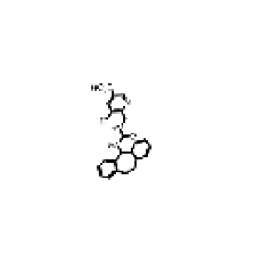 O=C(NCc1ncc(C(=O)O)cc1Cl)NC1c2ccccc2CCC2C=CC=CC21